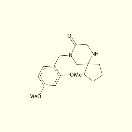 COc1ccc(CN2CC3(CCCC3)NCC2=O)c(OC)c1